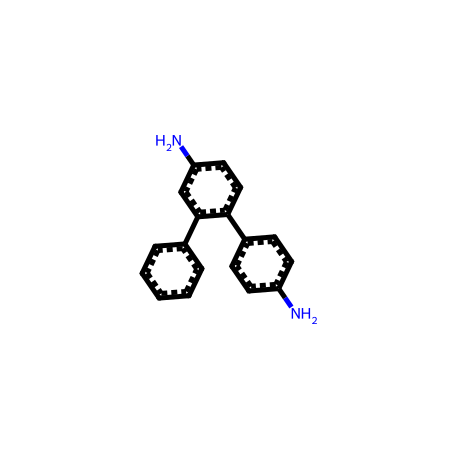 Nc1ccc(-c2ccc(N)cc2-c2ccccc2)cc1